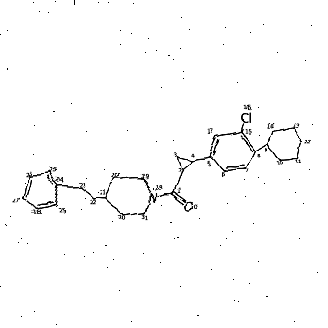 O=C(C1CC1c1ccc(C2CCCCC2)c(Cl)c1)N1CCC(CCc2ccccc2)CC1